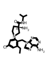 CCc1cc(Cl)cc(N2CC[C@](N)(C(=O)NC(C)C)C2)c1Cn1cnc2c(N)ncnc21